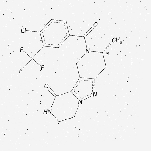 C[C@@H]1Cc2nn3c(c2CN1C(=O)c1ccc(Cl)c(C(F)(F)F)c1)C(=O)NCC3